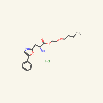 CCCCOCCOC(=O)[C@@H](N)Cc1ncc(-c2ccccc2)o1.Cl